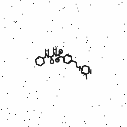 CC1=CN(CCc2ccc(S(=O)(=O)NC(=O)NC3CCCCC3)cc2)CC=N1